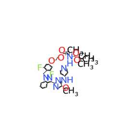 COc1cnc(-c2nn(Cc3c(F)cc(OCCOC(=O)[C@H](C)NC(=O)OC(C)(C)C)cc3F)c3ccccc23)nc1Nc1ccncc1